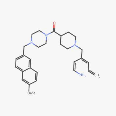 C=C/C=C(\C=C/N)CN1CCC(C(=O)N2CCN(Cc3ccc4cc(OC)ccc4c3)CC2)CC1